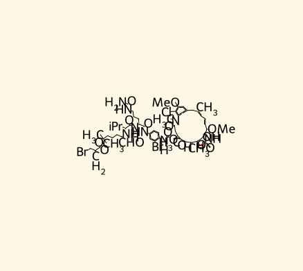 C=C(CBr)C(=O)OC(C)(C)CCCC(C=O)N[C@H](C(=O)N[C@@H](CCCNC(N)=O)C(=O)Nc1ccc(NC(=O)O[C@H]2CC(=O)N(C)c3cc(cc(OC)c3Cl)C/C(C)=C/C=C/[C@@H](OC)[C@@]3(O)C[C@H](OC(=O)N3)[C@@H](C)[C@@H]3O[C@@]23C)c(Br)c1)C(C)C